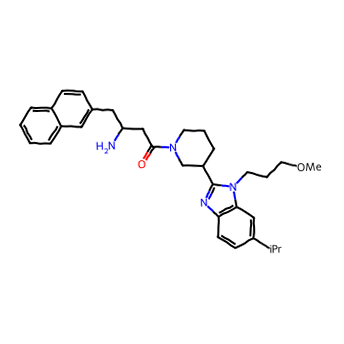 COCCCn1c(C2CCCN(C(=O)CC(N)Cc3ccc4ccccc4c3)C2)nc2ccc(C(C)C)cc21